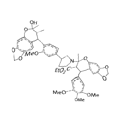 CCOC(=O)C1C(c2cc(OC)c(OC)c(OC)c2)c2cc3c(cc2OC1(C)N1CCC(c2ccc(C4c5cc6c(cc5OC(C)(O)C4C)OCO6)c(OC)c2)C1)OCO3